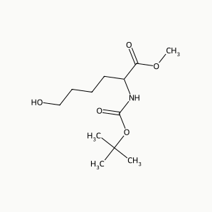 COC(=O)C(CCCCO)NC(=O)OC(C)(C)C